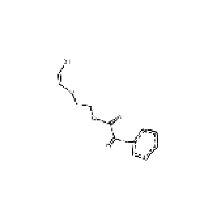 O=C(OCCO/C=C\O)C(=O)c1ccccc1